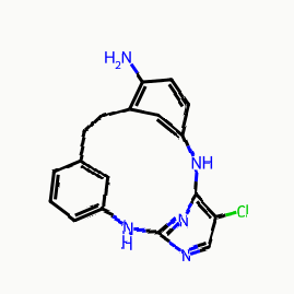 Nc1ccc2cc1CCc1cccc(c1)Nc1ncc(Cl)c(n1)N2